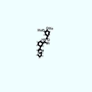 COc1ccc(C(=O)NC(c2cccc(-c3cn4c(n3)CCC4)c2)C(C)C)cc1OC